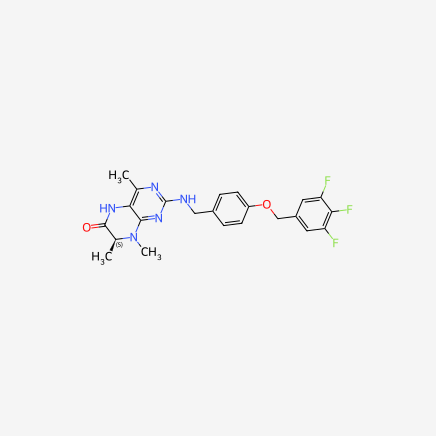 Cc1nc(NCc2ccc(OCc3cc(F)c(F)c(F)c3)cc2)nc2c1NC(=O)[C@H](C)N2C